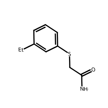 CCc1cccc(SCC([NH])=O)c1